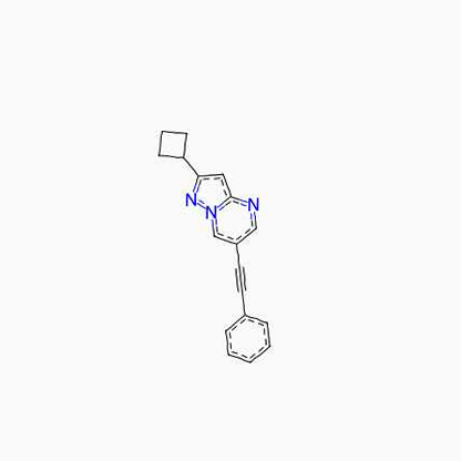 C(#Cc1cnc2cc(C3CCC3)nn2c1)c1ccccc1